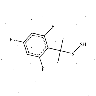 CC(C)(SS)c1c(F)cc(F)cc1F